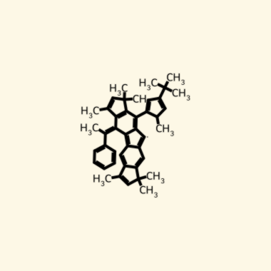 CC1=CC(C)(C)c2cc3c(cc21)=c1c(c(C2=CC(C(C)(C)C)=CC2C)c2c(c1=C(C)c1ccccc1)C(C)=CC2(C)C)[C]=3